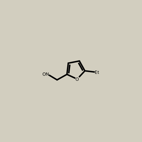 CCc1ccc(CN=O)o1